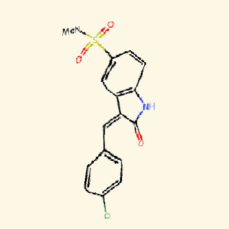 CNS(=O)(=O)c1ccc2c(c1)C(=Cc1ccc(Cl)cc1)C(=O)N2